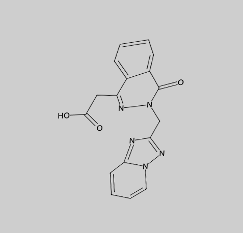 O=C(O)Cc1nn(Cc2nc3ccccn3n2)c(=O)c2ccccc12